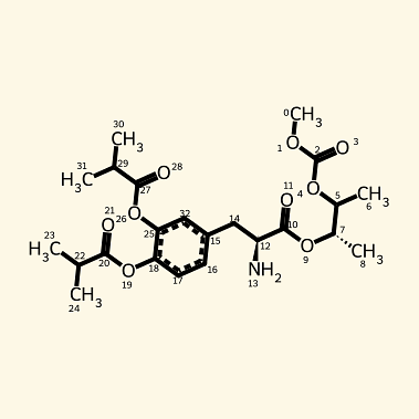 COC(=O)OC(C)[C@H](C)OC(=O)[C@@H](N)Cc1ccc(OC(=O)C(C)C)c(OC(=O)C(C)C)c1